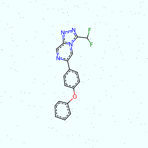 FC(F)c1nnc2cnc(-c3ccc(Oc4ccccc4)cc3)cn12